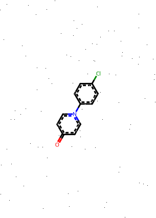 O=c1ccn(-c2ccc(Cl)cc2)cc1